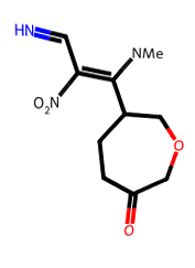 CN/C(=C(\C=N)[N+](=O)[O-])C1CCC(=O)COC1